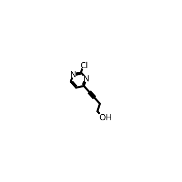 OCCC#Cc1ccnc(Cl)n1